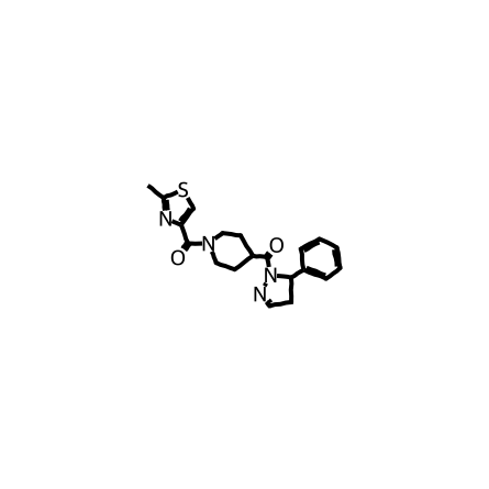 Cc1nc(C(=O)N2CCC(C(=O)N3N=CCC3c3ccccc3)CC2)cs1